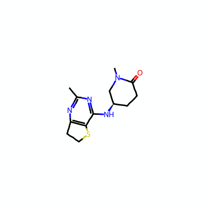 Cc1nc2c(c(N[C@@H]3CCC(=O)N(C)C3)n1)SCC2